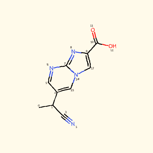 CC(C#N)c1cnc2nc(C(=O)O)cn2c1